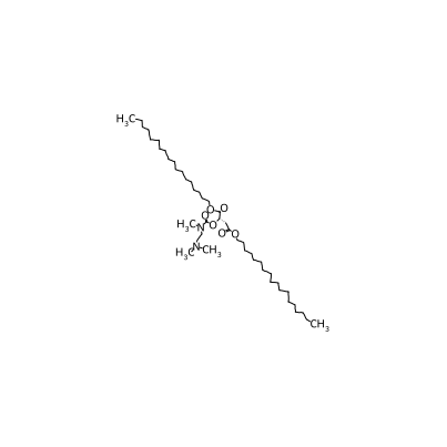 CCCCCCCCCCCCCCCCCCOC(=O)C[C@H](OC(=O)N(C)CCN(C)C)C(=O)OCCCCCCCCCCCCCCCCCC